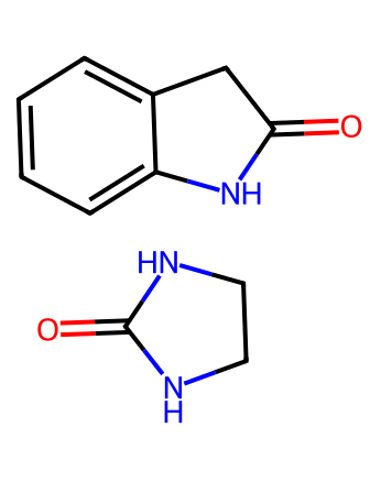 O=C1Cc2ccccc2N1.O=C1NCCN1